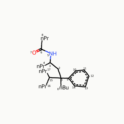 CCCCC(CC(CCC)NC(=O)CCC)(c1ccccc1)C(CCC)CCC